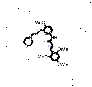 COc1cc(OC)c(/C=C/C(=O)Nc2ccc(OC)c(OCCN3CCOCC3)c2)c(OC)c1